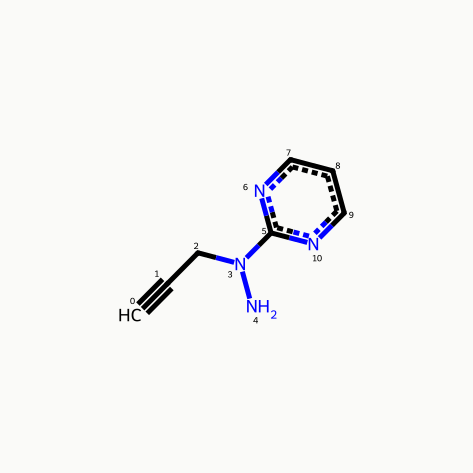 C#CCN(N)c1ncccn1